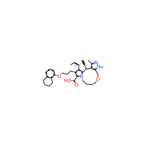 C#CC1c2c(C)nn(C)c2COCCCCn2c(C(=O)O)c(CCCOc3cccc4c3CCCC4)c(/C=C\C)c21